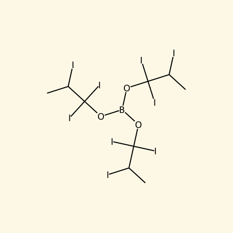 CC(I)C(I)(I)OB(OC(I)(I)C(C)I)OC(I)(I)C(C)I